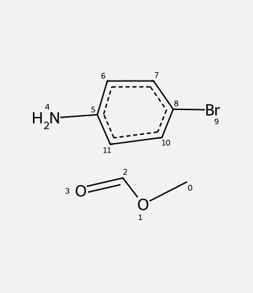 COC=O.Nc1ccc(Br)cc1